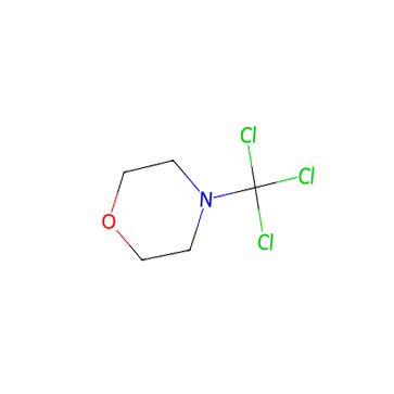 ClC(Cl)(Cl)N1CCOCC1